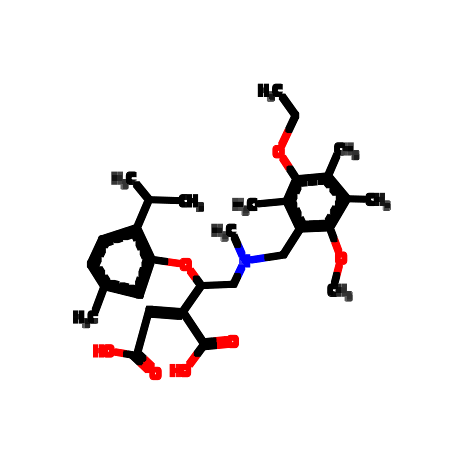 CCOc1c(C)c(C)c(OC)c(CN(C)CC(Oc2cc(C)ccc2C(C)C)/C(=C/C(=O)O)C(=O)O)c1C